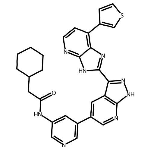 O=C(CC1CCCCC1)Nc1cncc(-c2cnc3[nH]nc(-c4nc5c(-c6ccsc6)ccnc5[nH]4)c3c2)c1